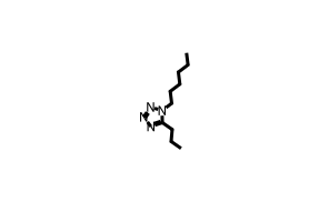 CCCCCCn1nnnc1CCC